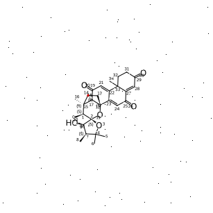 C[C@@H]1[C@]2(OC(C)(C)[C@@H](C)[C@H]2O)O[C@]23CC[C@@]1(C)[C@@]2(C)C(=O)C=C1C3=CC(=O)C2=CC(=O)CCC21C